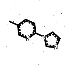 Cc1ccc(-n2ccnc2)nc1